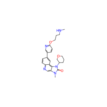 CNCCCOc1ccc(-c2ccc3ncc4c(c3c2)n(C2CCCOC2)c(=O)n4C)cn1